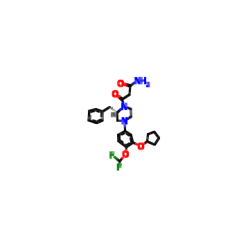 NC(=O)CC(=O)N1CCN(c2ccc(OC(F)F)c(OC3CCCC3)c2)C[C@@H]1Cc1ccccc1